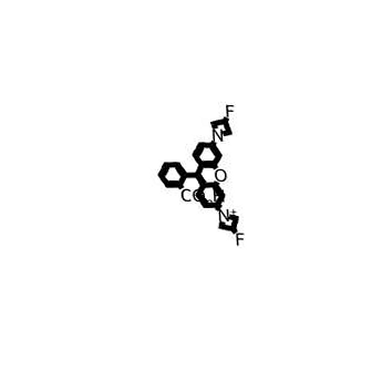 O=C(O)c1ccccc1-c1c2ccc(=[N+]3CC(F)C3)cc-2oc2cc(N3CC(F)C3)ccc12